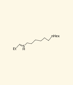 CCC=[SH]CCCCCCCCCCCC